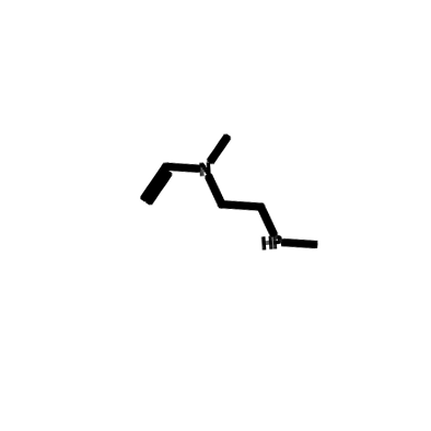 C=CN(C)CCPC